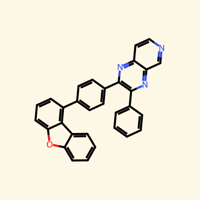 c1ccc(-c2nc3cnccc3nc2-c2ccc(-c3cccc4oc5ccccc5c34)cc2)cc1